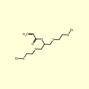 C=CC(=O)OC(CSCCSCC)CSCCSCC